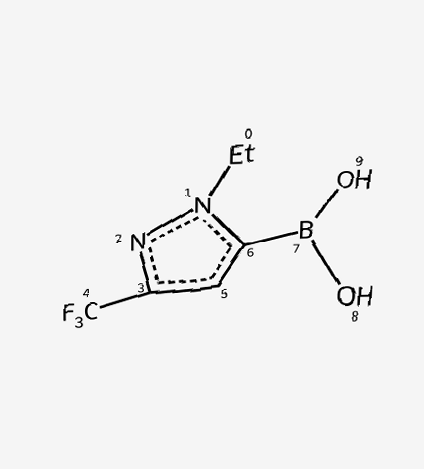 CCn1nc(C(F)(F)F)cc1B(O)O